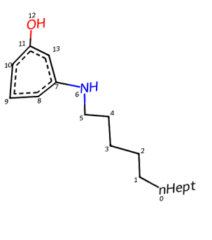 CCCCCCCCCCCCNc1cccc(O)c1